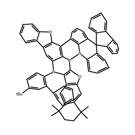 CC(C)(C)c1ccc(N2c3cc4c(oc5ccccc54)c4c3B(c3oc5cc6c(cc5c32)C(C)(C)CCC6(C)C)N2c3ccccc3C3(c5ccccc5-c5ccccc53)c3cccc-4c32)c(-c2ccccc2)c1